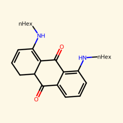 CCCCCCNC1=C2C(=O)c3c(NCCCCCC)cccc3C(=O)C2CC=C1